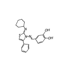 Oc1ccc(/C=N/n2c(-c3ccccc3)cs/c2=N\C2CCCCC2)cc1O